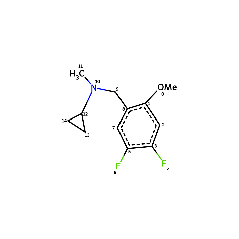 COc1cc(F)c(F)cc1CN(C)C1CC1